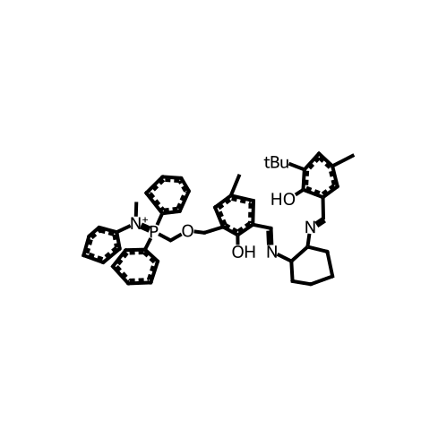 Cc1cc(/C=N/C2CCCCC2/N=C/c2cc(C)cc(C(C)(C)C)c2O)c(O)c(COCP(c2ccccc2)(c2ccccc2)=[N+](C)c2ccccc2)c1